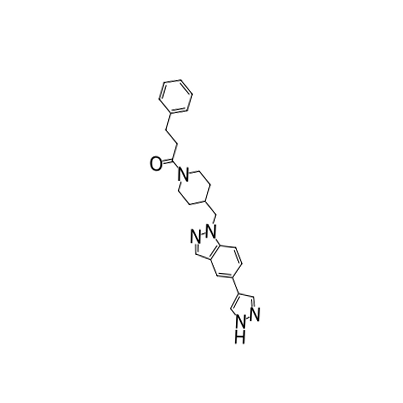 O=C(CCc1ccccc1)N1CCC(Cn2ncc3cc(-c4cn[nH]c4)ccc32)CC1